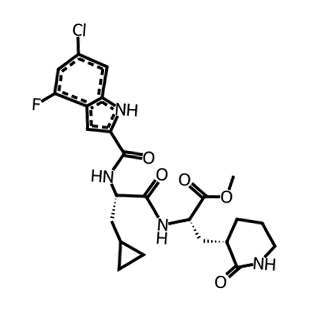 COC(=O)[C@H](C[C@@H]1CCCNC1=O)NC(=O)[C@H](CC1CC1)NC(=O)c1cc2c(F)cc(Cl)cc2[nH]1